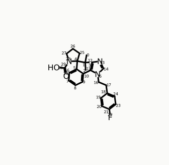 CC(C)(C)C1(c2ccccc2-c2cncn2CCc2ccc(F)cc2)CCCN1C(=O)O